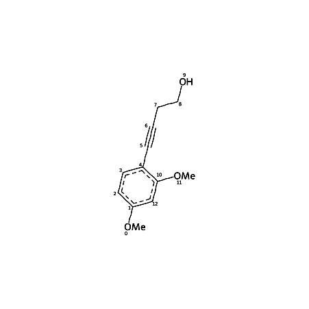 COc1ccc(C#CCCO)c(OC)c1